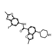 Cc1cc2c(N3CCNCC3)ccc(C(=O)Nc3cc(F)c4nc(C)oc4c3)c2o1